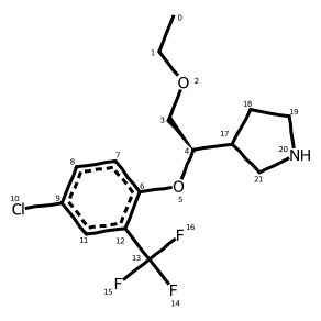 CCOC[C@H](Oc1ccc(Cl)cc1C(F)(F)F)C1CCNC1